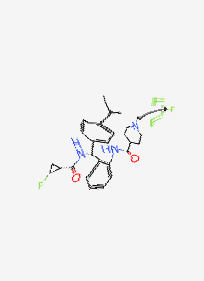 CC(C)c1ccc([C@@H](NC(=O)[C@H]2C[C@@H]2F)c2ccccc2NC(=O)C2CCN(CC(F)(F)F)CC2)cc1